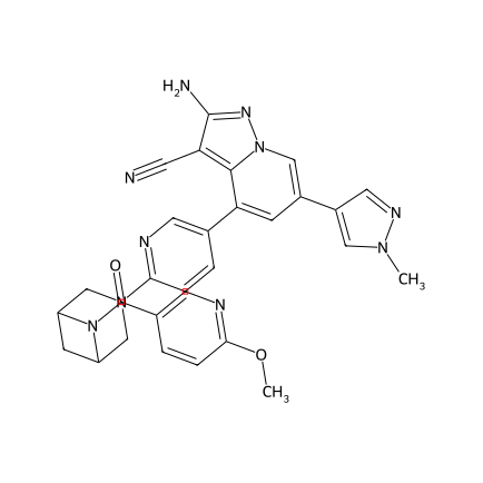 COc1ccc(C(=O)N2C3CC2CN(c2ccc(-c4cc(-c5cnn(C)c5)cn5nc(N)c(C#N)c45)cn2)C3)cn1